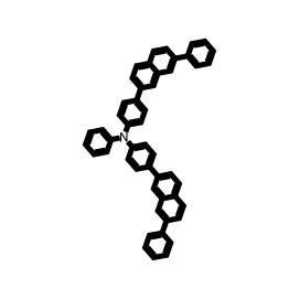 c1ccc(-c2ccc3ccc(-c4ccc(N(c5ccccc5)c5ccc(-c6ccc7ccc(-c8ccccc8)cc7c6)cc5)cc4)cc3c2)cc1